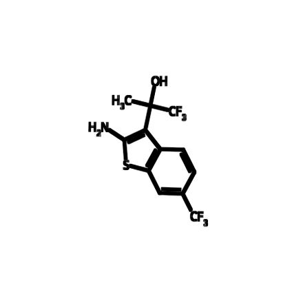 CC(O)(c1c(N)sc2cc(C(F)(F)F)ccc12)C(F)(F)F